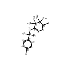 CC1=CC=C(OC(F)(F)c2ccc(C)cc2)C(F)(F)C1(F)F